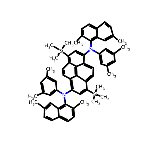 Cc1cc(C)cc(N(c2c(C)ccc3ccc(C)cc23)c2cc([Si](C)(C)C)c3ccc4c(N(c5cc(C)cc(C)c5)c5c(C)ccc6ccc(C)cc56)cc([Si](C)(C)C)c5ccc2c3c45)c1